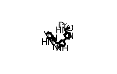 CC(C)C(=O)Nc1cncc(C2C=c3c(-c4nc5ccncc5[nH]4)n[nH]c3=CC2)c1